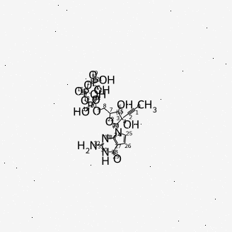 CC#CC1(O)[C@@H](O)C(COP(=O)(O)OP(=O)(O)OP(=O)(O)O)O[C@H]1n1ccc2c(=O)[nH]c(N)nc21